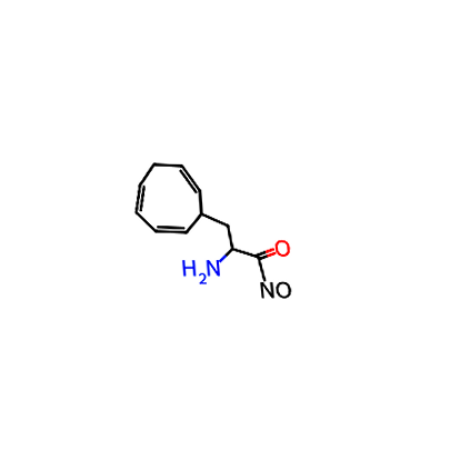 NC(CC1C=C/C=C\C/C=C\1)C(=O)N=O